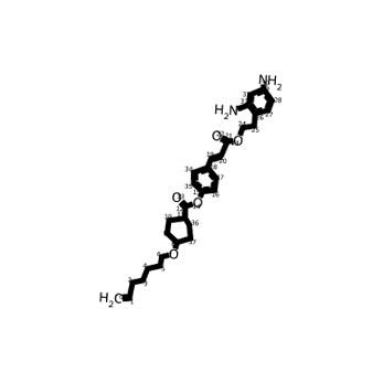 C=CCCCCCOC1CCC(C(=O)Oc2ccc(/C=C/C(=O)OCCc3ccc(N)cc3N)cc2)CC1